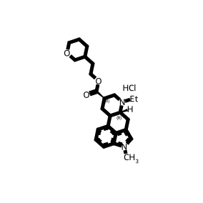 CCN1C[C@H](C(=O)OCCC2CCCOC2)CC2c3cccc4c3c(cn4C)C[C@H]21.Cl